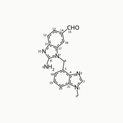 Cn1cnc2c(Cn3c(N)nc4ccc(C=O)cc43)cccc21